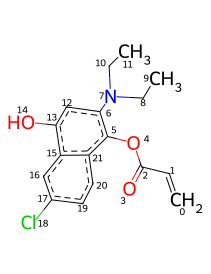 C=CC(=O)Oc1c(N(CC)CC)cc(O)c2cc(Cl)ccc12